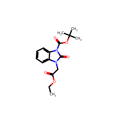 CCOC(=O)Cn1c(=O)n(C(=O)OC(C)(C)C)c2ccccc21